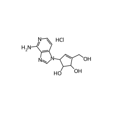 Cl.Nc1nccc2c1ncn2C1C=C(CO)C(O)C1O